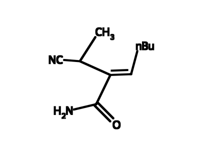 CCCCC=C(C(N)=O)C(C)C#N